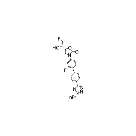 CCCn1nnc(-c2ccc(-c3ccc(N4C[C@H](C(O)CF)OC4=O)cc3F)cn2)n1